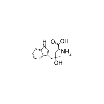 CC(O)(Cc1c[nH]c2ccccc12)CC(N)C(=O)O